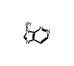 CC(C)n1cnc2ccnnc21